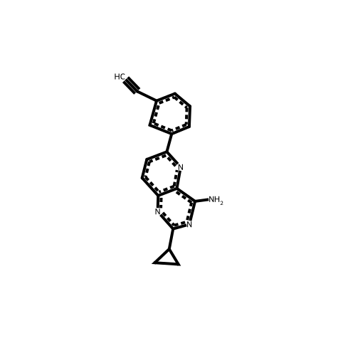 C#Cc1cccc(-c2ccc3nc(C4CC4)nc(N)c3n2)c1